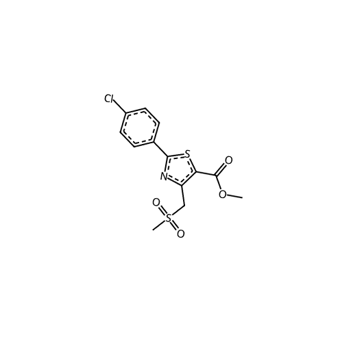 COC(=O)c1sc(-c2ccc(Cl)cc2)nc1CS(C)(=O)=O